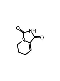 O=C1NC(=O)N2CCCC=C12